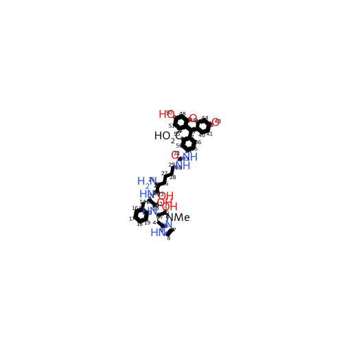 CN[C@@H](O)[C@H](Cc1ncc[nH]1)N[C@H](O)[C@H](Cc1ccccc1)N[C@@H](O)[C@H](N)CCCCNC(=O)Nc1ccc(-c2c3ccc(=O)cc-3oc3cc(O)ccc23)c(C(=O)O)c1